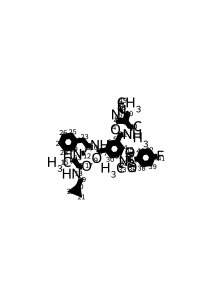 CC(NC(=O)c1cc(C(=O)N[C@H](CN[C@@H](C)C(=O)NCC2CC2)Cc2ccccc2)cc(N(C)S(=O)(=O)c2ccc(F)cc2)c1)c1cnn(C)c1